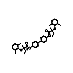 CCC(C)(Oc1c(C)cccc1C)[PH](=O)Oc1ccc(-c2ccc(O[PH](=O)C(C)(CC)Oc3c(C)cccc3C)cc2)cc1